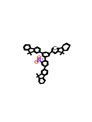 CC1(C)C2=CCCC=C2c2ccc(-c3ccc(-c4cc(-c5ccc6c(c5)C(C)(C)C5=C6C=C=CC=C5)cc(-c5ccc6c(c5)C(C)(C)c5ccccc5-6)c4)c([N+](=O)[O-])c3)cc21